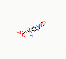 O=C(O)CCC(=O)Nc1ccc2nc(N3CCOCC3)ccc2c1